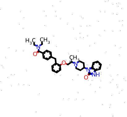 CCN(CC)C(=O)c1ccc(Cc2ccccc2OC[C@H](C)N2CCC(n3c(=O)[nH]c4ccccc43)CC2)cc1